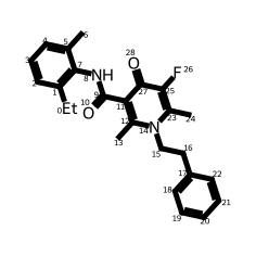 CCc1cccc(C)c1NC(=O)c1c(C)n(CCc2ccccc2)c(C)c(F)c1=O